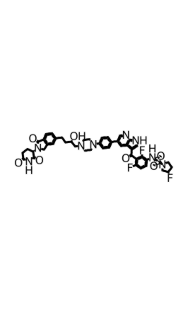 O=C1CC[C@@H](N2Cc3cc(CC[C@H](O)CN4CCN(c5ccc(-c6cnc7[nH]cc(C(=O)c8c(F)ccc(NS(=O)(=O)N9CC[C@@H](F)C9)c8F)c7c6)cc5)CC4)ccc3C2=O)C(=O)N1